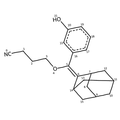 N#CCCCOC(=C1C2CC3CC(C2)CC1C3)c1cccc(O)c1